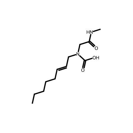 CCCCCC=CCN(CC(=O)NC)C(=O)O